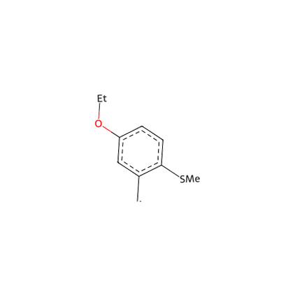 [CH2]c1cc(OCC)ccc1SC